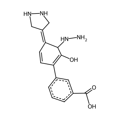 NNC1C(O)=C(c2cccc(C(=O)O)c2)C=CC1=C1CNNC1